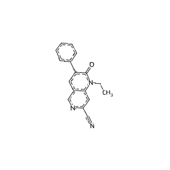 CCn1c(=O)c(-c2ccccc2)cc2cnc(C#N)cc21